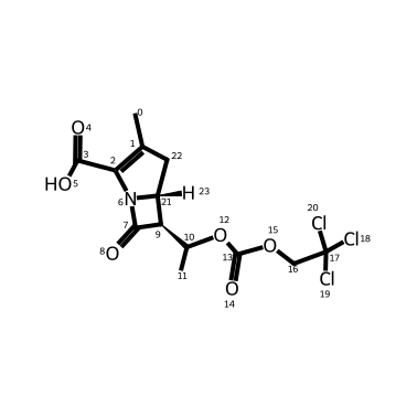 CC1=C(C(=O)O)N2C(=O)[C@H](C(C)OC(=O)OCC(Cl)(Cl)Cl)[C@H]2C1